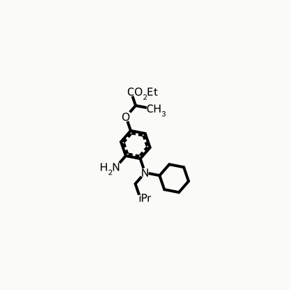 CCOC(=O)C(C)Oc1ccc(N(CC(C)C)C2CCCCC2)c(N)c1